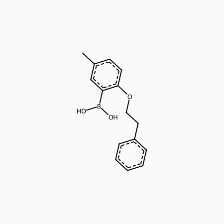 Cc1ccc(OCCc2ccccc2)c(B(O)O)c1